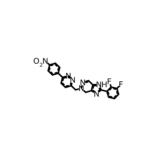 O=[N+]([O-])c1ccc(-c2ccc(CN3Cc4nc(-c5cccc(F)c5F)[nH]c4C=N3)nn2)cc1